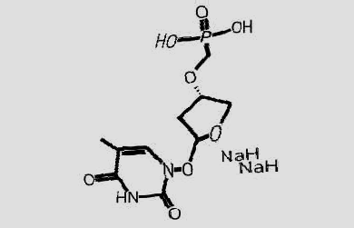 Cc1cn(OC2C[C@H](OCP(=O)(O)O)CO2)c(=O)[nH]c1=O.[NaH].[NaH]